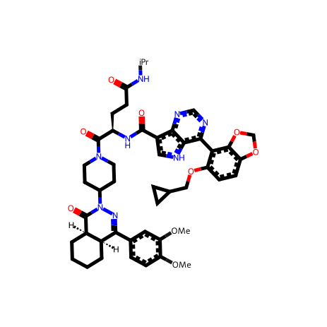 COc1ccc(C2=NN(C3CCN(C(=O)[C@@H](CCC(=O)NC(C)C)NC(=O)c4c[nH]c5c(-c6c(OCC7CC7)ccc7c6OCO7)ncnc45)CC3)C(=O)[C@@H]3CCCC[C@H]23)cc1OC